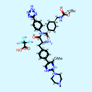 COc1nc(N2CCN(C)CC2)ncc1-c1ccc(C[C@H](N)C(=O)N(c2ccc(-c3nn[nH]n3)cc2)C(=O)[C@H]2CC[C@H](CNC(=O)OC(C)(C)C)CC2)cc1.O=C(O)C(F)(F)F